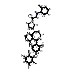 Nc1ncnc2c1C(c1ccc(Oc3c(F)c(F)cc(F)c3F)cc1F)=NCCC2[C@@H]1CCN(C(=O)/C=C/c2ccccc2F)C1